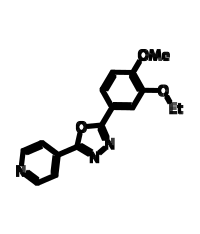 CCOc1cc(-c2nnc(-c3ccncc3)o2)ccc1OC